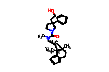 CN(CC[C@@]1(C)c2ccccc2CCC1(C)C)C(=O)N1CCC(CCO)(c2ccccc2)C1